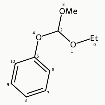 CCOC(OC)Oc1cc[c]cc1